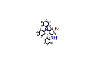 Brc1cc(Nc2ccccc2)cc(N(c2ccccc2)c2ccccc2)c1